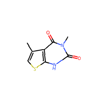 Cc1csc2[nH]c(=O)n(C)c(=O)c12